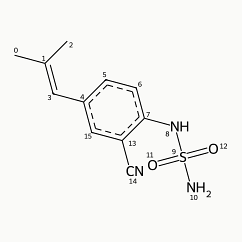 CC(C)=Cc1ccc(NS(N)(=O)=O)c(C#N)c1